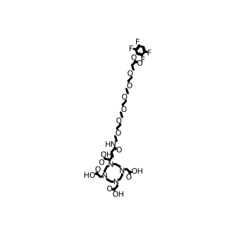 O=C(O)CN1CCN(CC(=O)O)CCN(C(CCC(=O)NCCOCCOCCOCCOCCOCCOCCC(=O)Oc2c(F)c(F)cc(F)c2F)C(=O)O)CCN(CC(=O)O)CC1